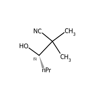 CCC[C@H](O)C(C)(C)C#N